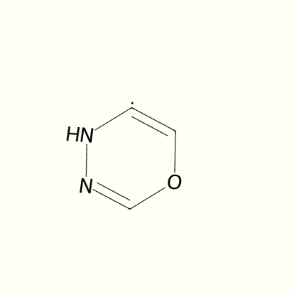 [C]1=COC=NN1